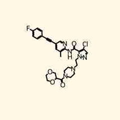 Cc1cc(C#Cc2ccc(F)cc2)cnc1NC(=O)c1c(Cl)cnn1CCN1CCN(C(=O)C2COCCO2)CC1